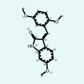 COc1ccc(OC)c(C=C2C(=O)Nc3cc(OC)ccc32)c1